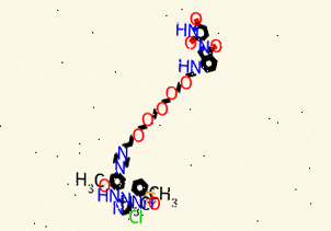 COc1cc(N2CCN(CCCOCCOCCOCCOCCOCCNc3cccc4c3CN(C3CCC(=O)NC3=O)C4=O)CC2)ccc1Nc1ncc(Cl)c(Nc2ccccc2P(C)(C)=O)n1